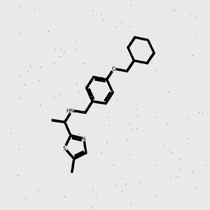 Cc1cnc(C(C)NCc2ccc(OCC3CCCCC3)cc2)s1